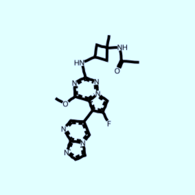 COc1nc(NC2CC(C)(NC(C)=O)C2)nn2cc(F)c(-c3cnc4nccn4c3)c12